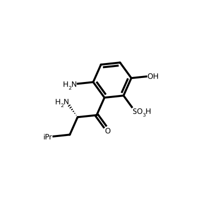 CC(C)C[C@H](N)C(=O)c1c(N)ccc(O)c1S(=O)(=O)O